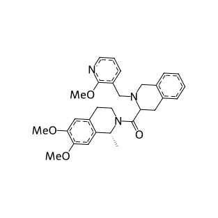 COc1cc2c(cc1OC)[C@@H](C)N(C(=O)C1Cc3ccccc3CN1Cc1cccnc1OC)CC2